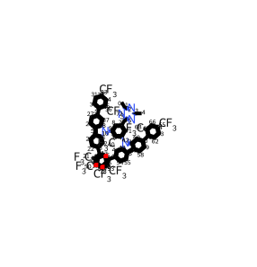 Cc1nc(C)nc(-c2cc(-n3c4cc(-c5ccc(C(F)(F)F)cc5C(F)(F)F)ccc4c4ccc(-c5ccc(C(F)(F)F)cc5C(F)(F)F)cc43)c(C(F)(F)F)c(-n3c4cc(-c5ccc(C(F)(F)F)cc5C(F)(F)F)ccc4c4ccc(-c5ccc(C(F)(F)F)cc5C(F)(F)F)cc43)c2)n1